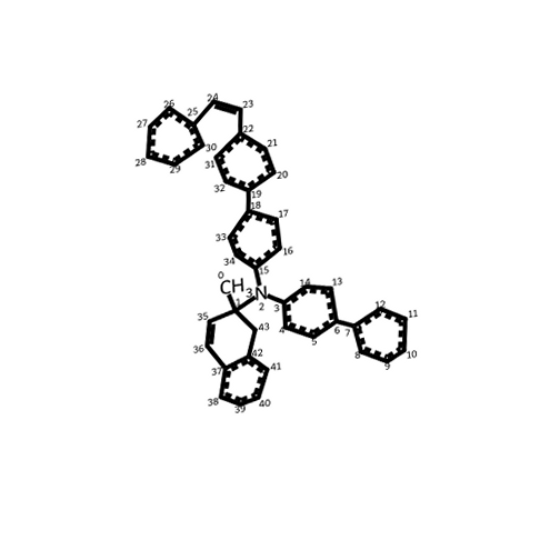 CC1(N(c2ccc(-c3ccccc3)cc2)c2ccc(-c3ccc(/C=C\c4ccccc4)cc3)cc2)C=Cc2ccccc2C1